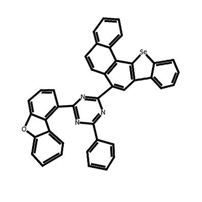 c1ccc(-c2nc(-c3cc4c5ccccc5[se]c4c4c3ccc3ccccc34)nc(-c3cccc4oc5ccccc5c34)n2)cc1